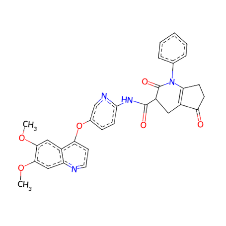 COc1cc2nccc(Oc3ccc(NC(=O)C4CC5=C(CCC5=O)N(c5ccccc5)C4=O)nc3)c2cc1OC